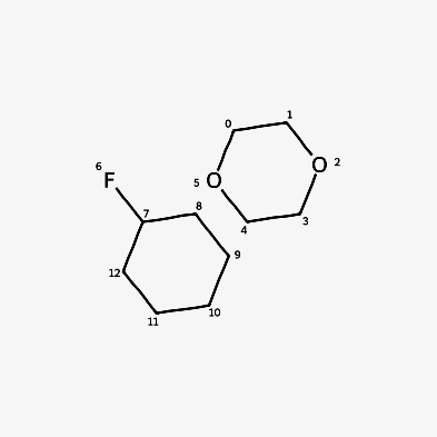 C1COCCO1.FC1CCCCC1